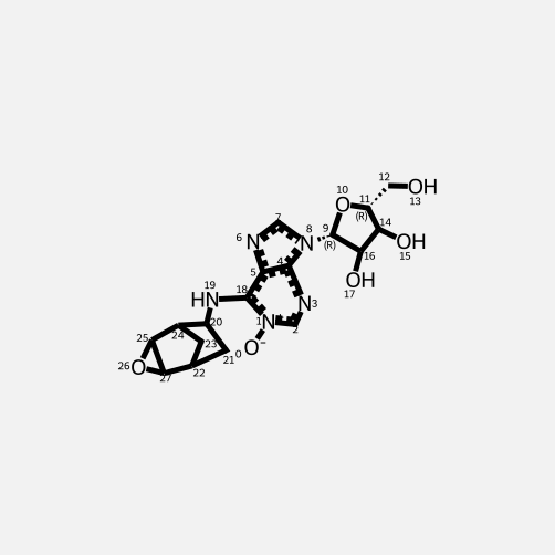 [O-][n+]1cnc2c(ncn2[C@@H]2O[C@H](CO)C(O)C2O)c1NC1CC2CC1C1OC21